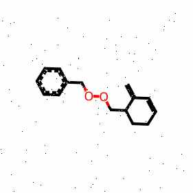 C=C1C=CCCC1COOCc1ccccc1